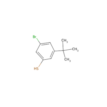 CC(C)(C)c1cc(S)cc(Br)c1